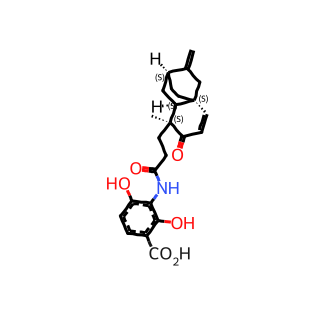 C=C1C[C@@]23C=CC(=O)[C@@](C)(CCC(=O)Nc4c(O)ccc(C(=O)O)c4O)[C@H]2C[C@@H]1CC3